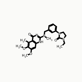 CCN1CCN(c2cccc(CN(C)c3nc(=O)c4c(C)c(OC)c(OC)cc4[nH]3)c2)C1=O